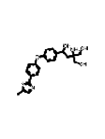 Cc1cnc(-c2ccc(Oc3ccc(C(O)CC(N)(CO)CO)cc3)cc2)s1